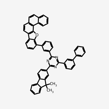 CC1(C)c2ccccc2-c2ccc(-c3nc(-c4cccc(-c5ccccc5)c4)nc(-c4cccc(-c5cccc6c5oc5c6ccc6ccc7ccccc7c65)c4)n3)cc21